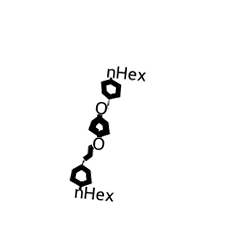 CCCCCC[C@H]1CC[C@H](CCCOc2ccc(OC[C@H]3CC[C@H](CCCCCC)CC3)cc2)CC1